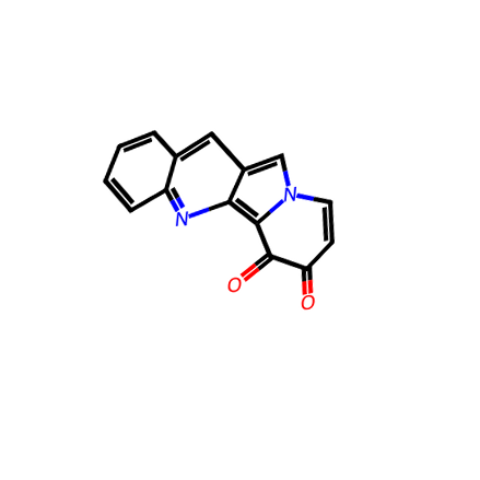 O=C1C=Cn2cc3cc4ccccc4nc3c2C1=O